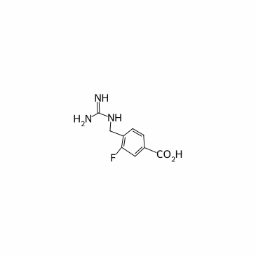 N=C(N)NCc1ccc(C(=O)O)cc1F